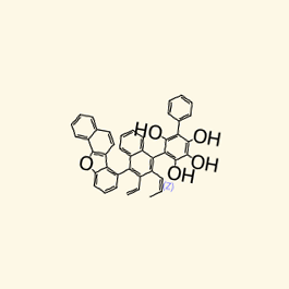 C=Cc1c(/C=C\C)c(-c2c(O)c(O)c(O)c(-c3ccccc3)c2O)c2ccccc2c1-c1cccc2oc3c4ccccc4ccc3c12